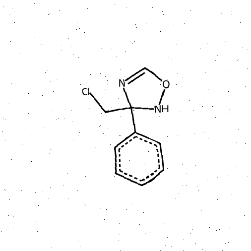 ClCC1(c2ccccc2)N=CON1